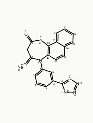 O=C1CC(=O)N(c2cccc(-c3nnn[nH]3)c2)c2ccc3ccccc3c2N1.[Na]